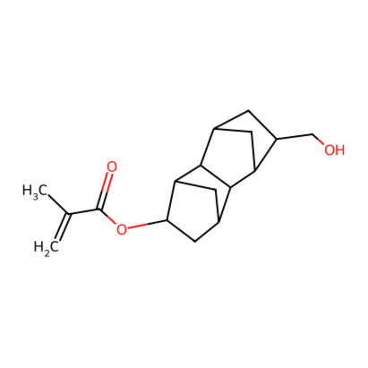 C=C(C)C(=O)OC1CC2CC1C1C3CC(CO)C(C3)C21